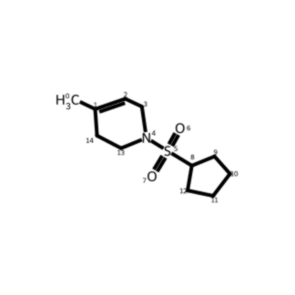 CC1=CCN(S(=O)(=O)C2CCCC2)CC1